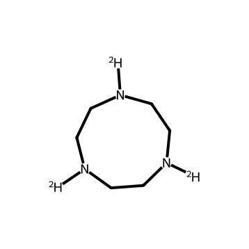 [2H]N1CCN([2H])CCN([2H])CC1